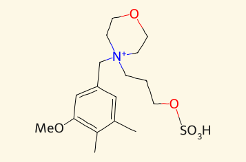 COc1cc(C[N+]2(CCCOS(=O)(=O)O)CCOCC2)cc(C)c1C